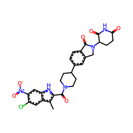 Cc1c(C(=O)N2CCC(c3ccc4c(c3)CN(C3CCC(=O)NC3=O)C4=O)CC2)[nH]c2cc([N+](=O)[O-])c(Cl)cc12